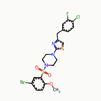 COc1ccc(Br)cc1S(=O)(=O)N1CCN(c2nc(Cc3ccc(Cl)c(F)c3)cs2)CC1